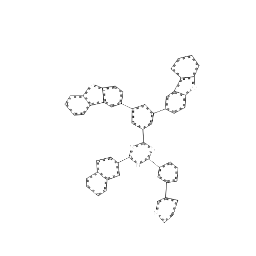 c1cncc(-c2cccc(-c3nc(-c4cc(-c5ccc6oc7ccccc7c6c5)cc(-c5ccc6oc7ccccc7c6c5)c4)nc(-c4ccc5ccccc5c4)n3)c2)c1